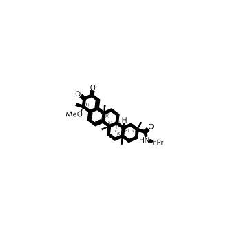 CCCNC(=O)[C@]1(C)CC[C@]2(C)CC[C@]3(C)C4=CC=C5C(=CC(=O)C(=O)[C@@]5(C)OC)[C@]4(C)CC[C@@]3(C)[C@@H]2C1